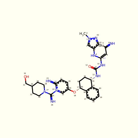 Cn1cc(N/C(=C\C(=N)C(C)(C)C)NC(=O)N[C@H]2CC[C@@H](Oc3ccc(=N)n(C(=N)N4CCC(CO)CC4)c3)c3ccccc32)cn1